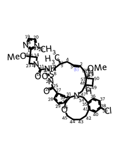 CO[C@H]1/C=C/C[C@H](C)CS(=O)(NC(=O)N2CC(OC)(c3nccn3C)C2)=NC(=O)c2ccc3c(c2)N(Cc2ccc(Cl)cc2CCCCO3)C[C@@H]2CC[C@H]21